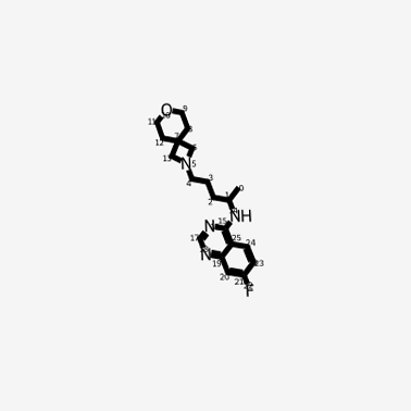 CC(CCCN1CC2(CCOCC2)C1)Nc1ncnc2cc(F)ccc12